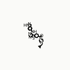 O=C(C1CCc2c(sc3ncnc(Nc4ccc5[nH]ncc5c4)c23)C1)N1CCN(CC2CC2)CC1